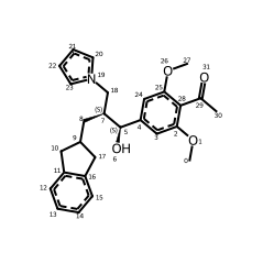 COc1cc([C@@H](O)[C@@H](CC2Cc3ccccc3C2)Cn2c[c]cc2)cc(OC)c1C(C)=O